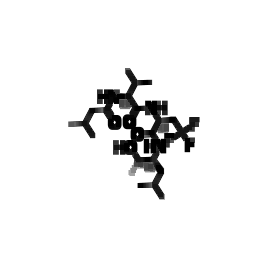 CC(C)CC(=O)N[C@H](C(=O)N[C@@H](CC(F)(F)F)C(=O)N[C@@H](CC(C)C)[C@H](C)O)C(C)C